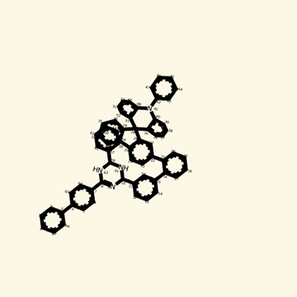 c1ccc(-c2ccc(C3=NC(c4cccc(-c5ccccc5-c5ccc6c(c5)C5(c7ccccc7-6)c6ccccc6N(c6ccccc6)c6ccccc65)c4)NC(c4ccccc4)N3)cc2)cc1